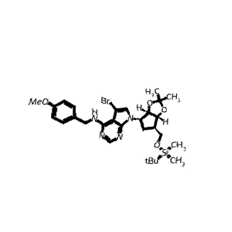 COc1ccc(CNc2ncnc3c2c(Br)cn3[C@@H]2C[C@H](CO[Si](C)(C)C(C)(C)C)[C@H]3OC(C)(C)O[C@H]32)cc1